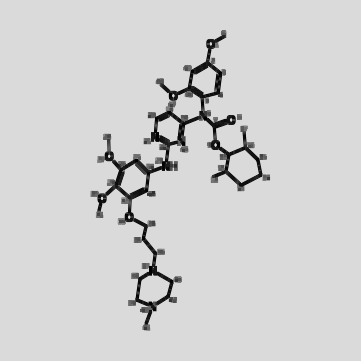 COc1ccc(N(C(=O)OC2C(C)CCCC2C)c2ccnc(Nc3cc(OC)c(OC)c(OCCCN4CCN(C)CC4)c3)n2)c(OC)c1